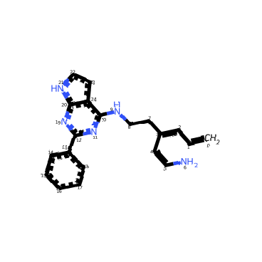 C=C/C=C(\C=C/N)CCNc1nc(-c2ccccc2)nc2[nH]ccc12